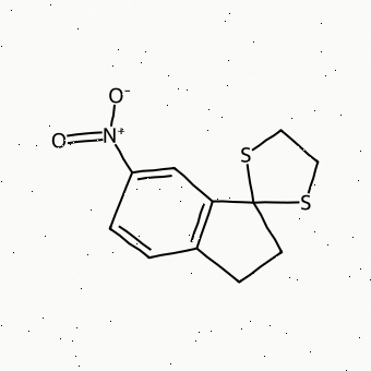 O=[N+]([O-])c1ccc2c(c1)C1(CC2)SCCS1